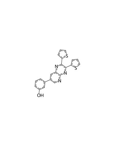 Oc1cccc(-c2cnc3nc(-c4cccs4)c(-c4cccs4)nc3c2)c1